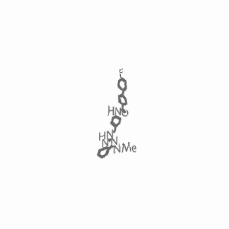 CNc1nc(NCc2ccc(NC(=O)c3ccc(-c4ccc(F)cc4)cc3)cc2)nc2ccccc12